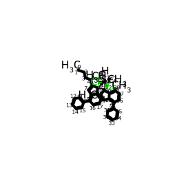 CCCCC(C)C1=Cc2c(-c3ccccc3)cccc2[CH]1[Zr]([Cl])([Cl])([CH]1C(C)=Cc2c(-c3ccccc3)ccc(C)c21)[SiH](C)C